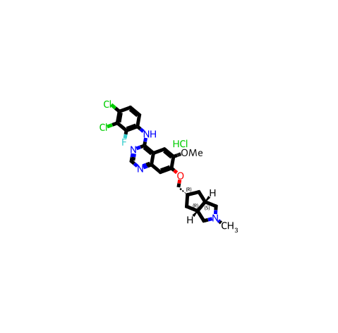 COc1cc2c(Nc3ccc(Cl)c(Cl)c3F)ncnc2cc1OC[C@@H]1C[C@@H]2CN(C)C[C@@H]2C1.Cl